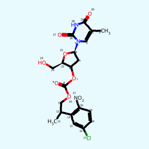 Cc1cn([C@H]2CC(OC(=O)OCC(C)c3cc(Cl)ccc3[N+](=O)[O-])[C@@H](CO)O2)c(=O)[nH]c1=O